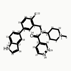 CN1CCC(N(Cc2cc(-c3ccc4[nH]ccc4c3)ccc2F)C(=O)c2ccnnc2)CC1